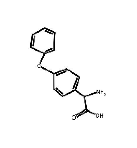 NC(C(=O)O)c1ccc(Oc2ccccc2)cc1